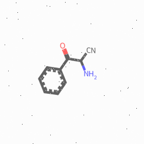 N#CC(N)C(=O)c1ccccc1